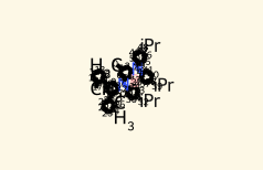 Cc1cc2c3c(c1)N(c1cc(-c4ccccc4C)cc(-c4ccccc4C)c1)c1ccc(C(C)C)cc1B3c1cc(C(C)C)ccc1N2c1ccc(C(C)C)cc1